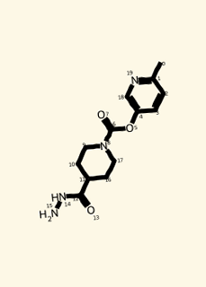 Cc1ccc(OC(=O)N2CCC(C(=O)NN)CC2)cn1